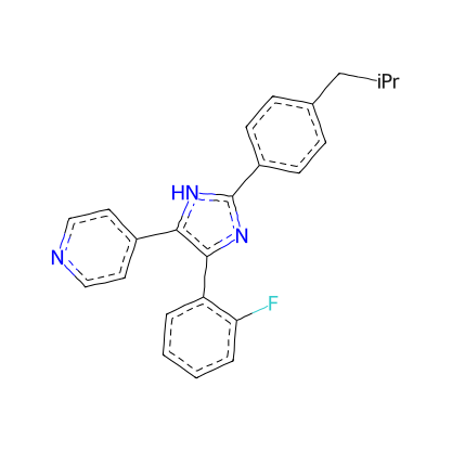 CC(C)Cc1ccc(-c2nc(-c3ccccc3F)c(-c3ccncc3)[nH]2)cc1